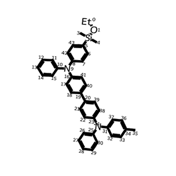 CCO[Si](C)(C)c1ccc(N(c2ccccc2)c2ccc(-c3ccc(N(c4ccccc4)c4ccc(C)cc4)cc3)cc2)cc1